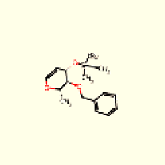 C[C@@H]1OC=C[C@H](O[Si](C)(C)C(C)(C)C)[C@H]1OCc1ccccc1